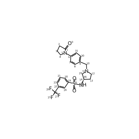 O=C1CCCN1c1ccc(CN2CC[C@@H](NS(=O)(=O)c3cccc(C(F)(F)F)c3)C2)cc1